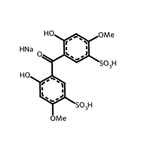 COc1cc(O)c(C(=O)c2cc(S(=O)(=O)O)c(OC)cc2O)cc1S(=O)(=O)O.[NaH]